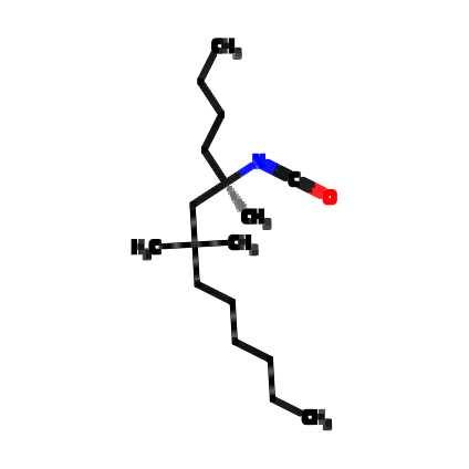 CCCCCCC(C)(C)C[C@@](C)(CCCC)N=C=O